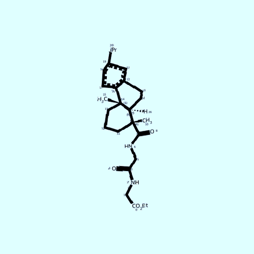 CCOC(=O)CNC(=O)CNC(=O)[C@]1(C)CCC[C@]2(C)c3ccc(C(C)C)cc3CC[C@@H]12